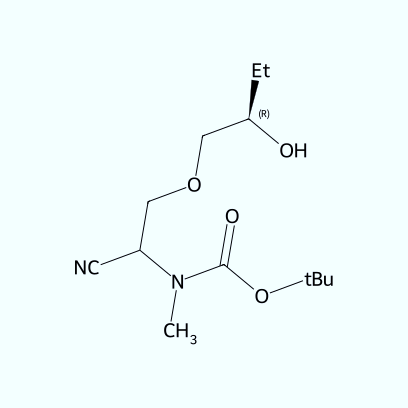 CC[C@@H](O)COCC(C#N)N(C)C(=O)OC(C)(C)C